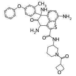 Cc1cc(Oc2ccccc2)ccc1C1(N)C(=O)C(N)c2c(C(=O)NC3CCCN(C(=O)C4COC4)C3)sc3c(N)ccc1c23